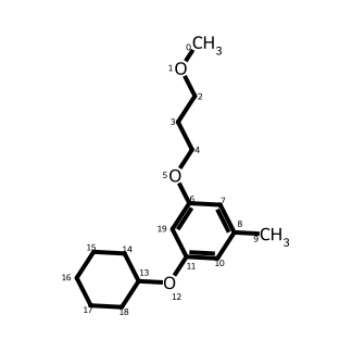 COCCCOc1cc(C)cc(OC2CCCCC2)c1